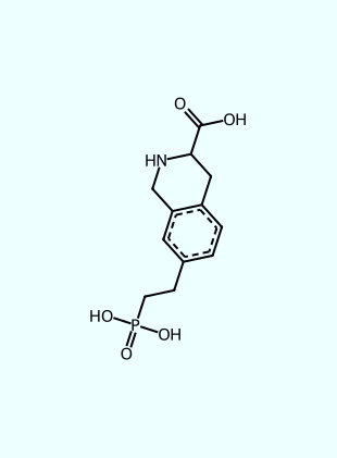 O=C(O)C1Cc2ccc(CCP(=O)(O)O)cc2CN1